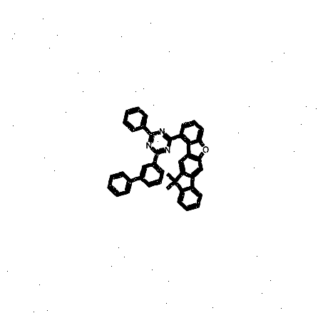 CC1(C)c2ccccc2-c2cc3oc4cccc(-c5nc(-c6ccccc6)nc(-c6cccc(-c7ccccc7)c6)n5)c4c3cc21